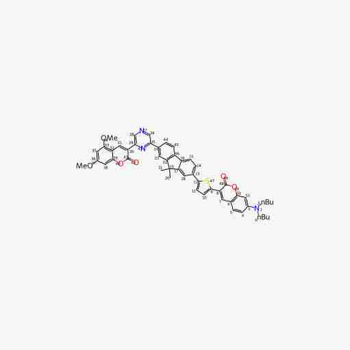 CCCCN(CCCC)c1ccc2cc(-c3ccc(-c4ccc5c(c4)C(C)(C)c4cc(-c6cncc(-c7cc8c(OC)cc(OC)cc8oc7=O)n6)ccc4-5)s3)c(=O)oc2c1